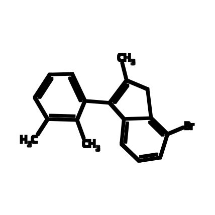 CC1=C(c2cccc(C)c2C)c2cccc(Br)c2C1